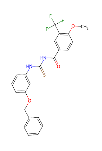 COc1ccc(C(=O)NC(=S)Nc2cccc(OCc3ccccc3)c2)cc1C(F)(F)F